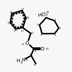 C1CCCCC1.CC(N)C(=O)OCc1ccccc1.Cl